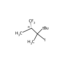 C[C@H](C(F)(F)F)C(C)(I)C(C)(C)C